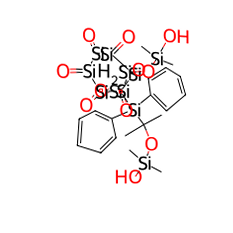 CC(C)(O[Si](C)(C)O)[Si](c1ccccc1)(c1ccccc1)[Si](=O)[Si](=O)[Si](=O)[Si](=O)[Si](=O)[Si](=O)[Si](=O)[SiH2]O[Si](C)(C)O